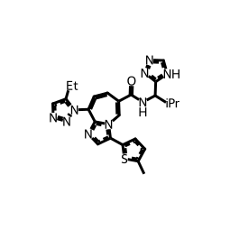 CCc1cnnn1C1=C=CC(C(=O)NC(c2nnc[nH]2)C(C)C)=Cn2c(-c3ccc(C)s3)cnc21